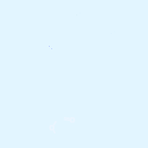 COC(=O)/C=C/c1ccc([C@@H]2CCCN2CCc2ccc(Cl)cc2Cl)cc1